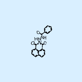 O=C(NNN1C(=O)c2cccc3cccc(c23)C1=O)c1ccccc1